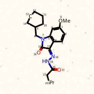 COc1ccc2c(c1)N(CC1CCCCC1)C(=O)C2=NNC(=O)CC(C)C